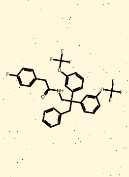 O=C(Cc1ccc(F)cc1)NCC(Cc1ccccc1)(c1cccc(OC(F)(F)F)c1)c1cccc(OC(F)(F)F)c1